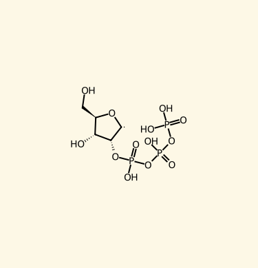 O=P(O)(O)OP(=O)(O)OP(=O)(O)O[C@H]1[CH]O[C@H](CO)[C@H]1O